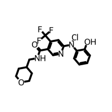 O=C(NCC1CCOCC1)c1cnc(N(Cl)c2ccccc2O)cc1C(F)(F)F